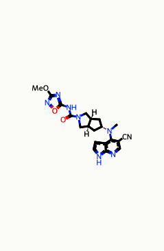 COc1noc(NC(=O)N2C[C@H]3C[C@H](N(C)c4c(C#N)cnc5[nH]ccc45)C[C@H]3C2)n1